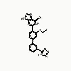 CCOc1cc(-c2cccc(-c3nnn[nH]3)c2)ccc1-c1nc2[nH]nnc2c(=O)[nH]1